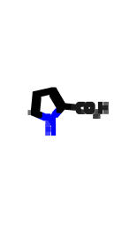 O=C(O)c1cc[c][nH]1